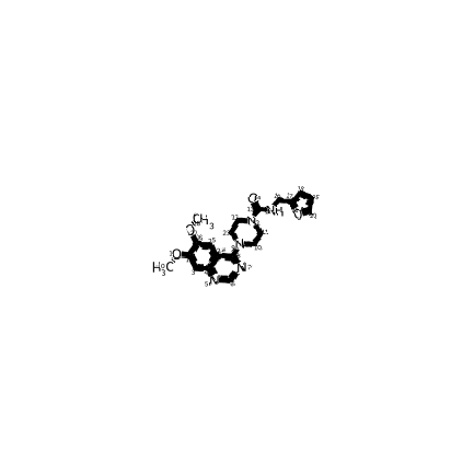 COc1cc2ncnc(N3CCN(C(=O)NCc4ccco4)CC3)c2cc1OC